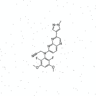 COc1cc(OC)c(F)c(N(CC#N)c2ccc3ncc(-c4cnn(C)c4)nc3n2)c1F